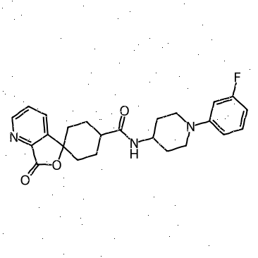 O=C1OC2(CCC(C(=O)NC3CCN(c4cccc(F)c4)CC3)CC2)c2cccnc21